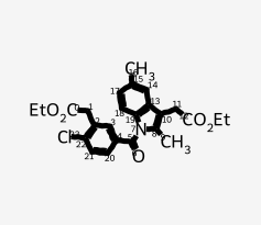 CCOC(=O)Cc1cc(C(=O)n2c(C)c(CC(=O)OCC)c3cc(C)ccc32)ccc1Cl